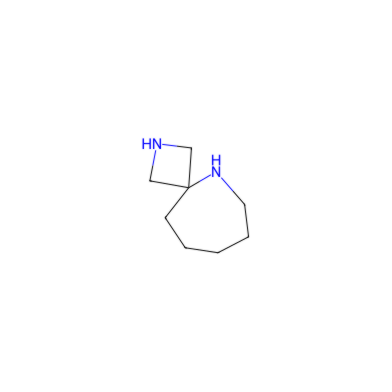 C1CCNC2(CC1)CNC2